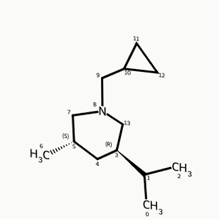 CC(C)[C@H]1C[C@H](C)CN(CC2CC2)C1